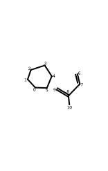 C1CCCCC1.C=CC(=C)C